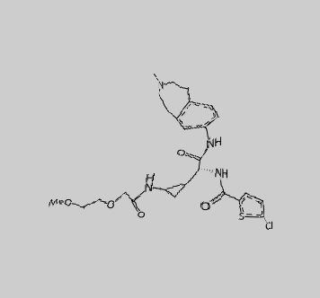 COCCOCC(=O)NC1CC1[C@@H](NC(=O)c1ccc(Cl)s1)C(=O)Nc1ccc2c(c1)CCN(C)CC2